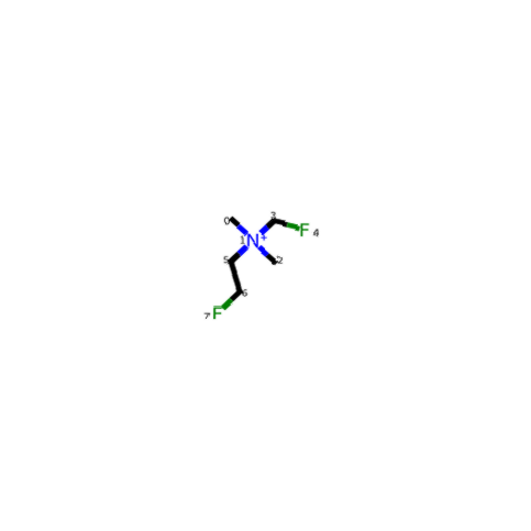 C[N+](C)(CF)CCF